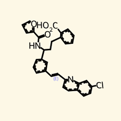 O=C(NC(CCc1ccccc1C(=O)O)c1cccc(/C=C/c2ccc3ccc(Cl)cc3n2)c1)c1ccco1